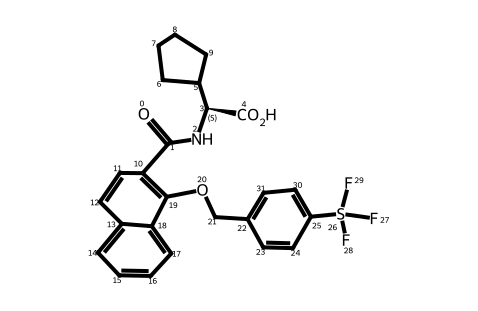 O=C(N[C@H](C(=O)O)C1CCCC1)c1ccc2ccccc2c1OCc1ccc(S(F)(F)F)cc1